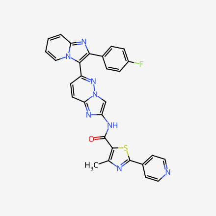 Cc1nc(-c2ccncc2)sc1C(=O)Nc1cn2nc(-c3c(-c4ccc(F)cc4)nc4ccccn34)ccc2n1